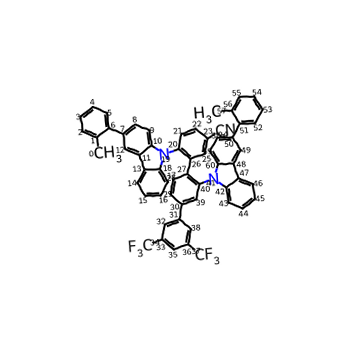 Cc1ccccc1-c1ccc2c(c1)c1ccccc1n2-c1ccc(C#N)cc1-c1ccc(-c2cc(C(F)(F)F)cc(C(F)(F)F)c2)cc1-n1c2ccccc2c2cc(-c3ccccc3C)ccc21